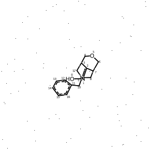 ON=C1C2COCC1CN(Cc1ccccc1)C2